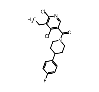 CCc1c(Cl)ncc(C(=O)N2CCC(c3ccc(F)cc3)CC2)c1Cl